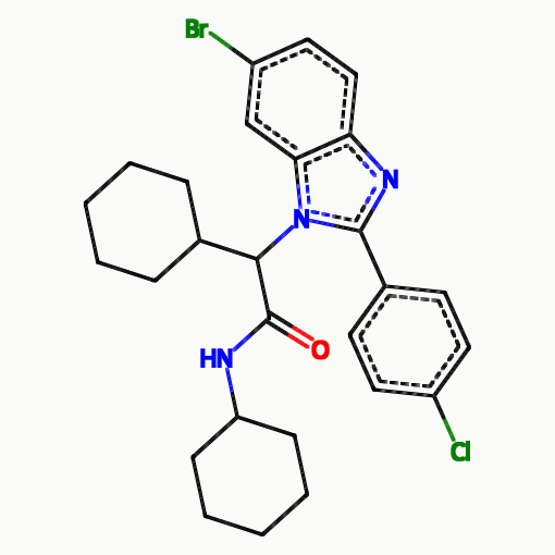 O=C(NC1CCCCC1)C(C1CCCCC1)n1c(-c2ccc(Cl)cc2)nc2ccc(Br)cc21